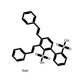 O=S(=O)(O)c1ccccc1-c1ccc(C=Cc2ccccc2)c(C=Cc2ccccc2)c1S(=O)(=O)O.[NaH]